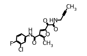 CC#CCNC(=O)C(=O)c1cc(C(=O)Nc2ccc(F)c(Cl)c2)c(C)o1